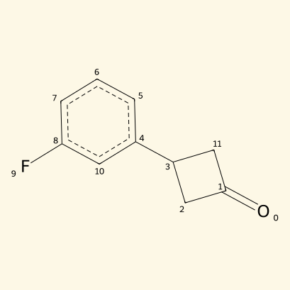 O=C1CC(c2cccc(F)c2)C1